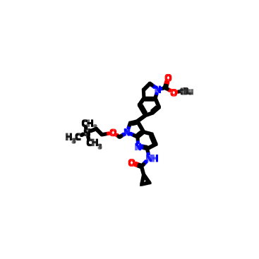 CC(C)(C)OC(=O)N1CCc2cc(-c3cn(COCC[Si](C)(C)C)c4nc(NC(=O)C5CC5)ccc34)ccc21